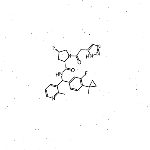 Cc1ncccc1C(NC(=O)[C@@H]1C[C@@H](F)CN1C(=O)Cc1cnn[nH]1)c1ccc(C2(C)CC2)c(F)c1